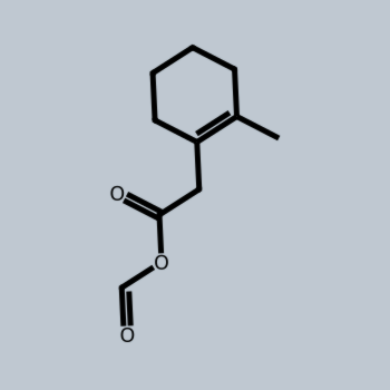 CC1=C(CC(=O)OC=O)CCCC1